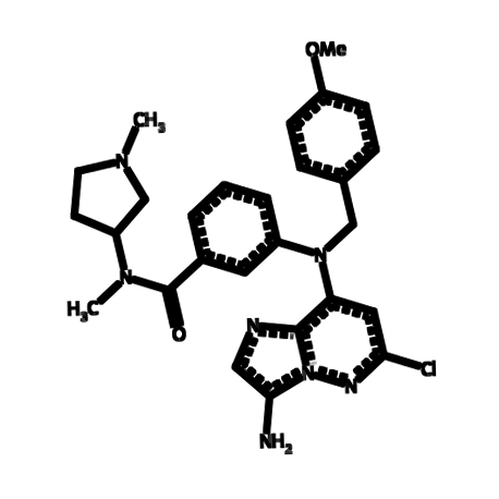 COc1ccc(CN(c2cccc(C(=O)N(C)C3CCN(C)C3)c2)c2cc(Cl)nn3c(N)cnc23)cc1